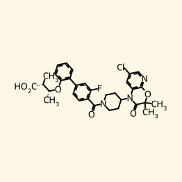 C[C@@H](Oc1ccccc1-c1ccc(C(=O)N2CCC(N3C(=O)C(C)(C)Oc4ncc(Cl)cc43)CC2)c(F)c1)[C@@H](C)C(=O)O